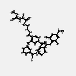 CCOc1cc(F)c(Cn2nc(-c3ncc(OCCCOC(=O)C(C)NC(=O)OC(C)(C)C)c(Nc4ccnc(C(F)F)c4)n3)c3ccccc32)c(F)c1